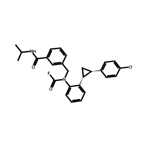 CC(C)NC(=O)c1cccc(CN(C(=O)F)c2ccccc2[C@@H]2C[C@@H]2c2ccc(Cl)cc2)c1